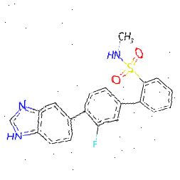 CNS(=O)(=O)c1ccccc1-c1ccc(-c2ccc3[nH]cnc3c2)c(F)c1